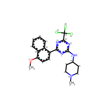 COc1ccc(-c2nc(NC3CCN(C)CC3)nc(C(Cl)(Cl)Cl)n2)c2ccccc12